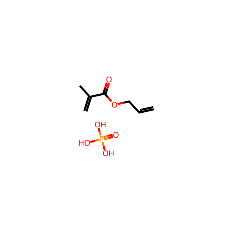 C=CCOC(=O)C(=C)C.O=P(O)(O)O